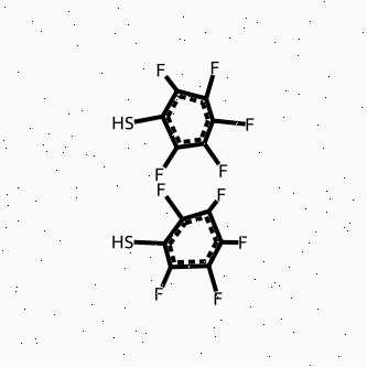 Fc1c(F)c(F)c(S)c(F)c1F.Fc1c(F)c(F)c(S)c(F)c1F